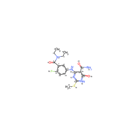 CCN(CC)C(=O)c1cc(Nc2nc(SC)[nH]c(=O)c2C(N)=O)ccc1F